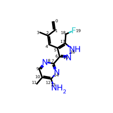 C=C/C(C)=C\c1c(-c2ncc(C)c(N)n2)n[nH]c1CF